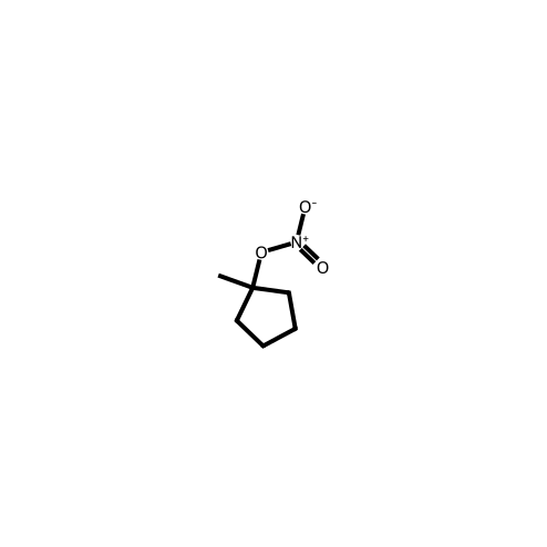 CC1(O[N+](=O)[O-])CCCC1